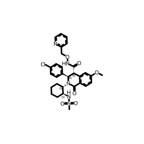 COc1ccc2c(c1)[C@@H](C(=O)NOCc1ccccn1)[C@H](c1ccc(Cl)cc1)N([C@H]1CCCC[C@@H]1NS(C)(=O)=O)C2=O